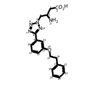 NC(CC(=O)O)Cn1nnc(-c2cccc(OCCc3ccccc3)c2)n1